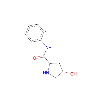 O=C(Nc1[c]cccc1)C1CC(O)CN1